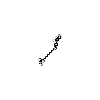 CCC(C)C(=O)OCCCCCCCCCCCOc1ccc(-c2cc3ccncc3oc2=O)cc1